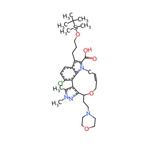 Cc1c2c(nn1C)C(CCN1CCOCC1)OC/C=C\Cn1c(C(=O)O)c(CCCO[Si](C)(C)C(C)(C)C)c3ccc(Cl)c-2c31